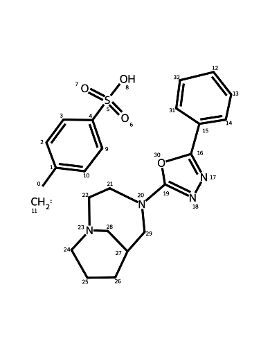 Cc1ccc(S(=O)(=O)O)cc1.[CH2].c1ccc(-c2nnc(N3CCN4CCCC(C4)C3)o2)cc1